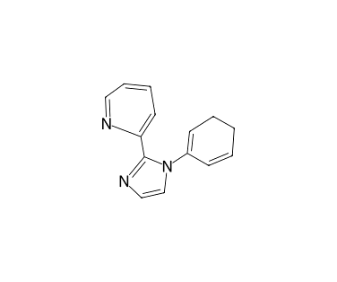 C1=CC(n2ccnc2-c2ccccn2)=CCC1